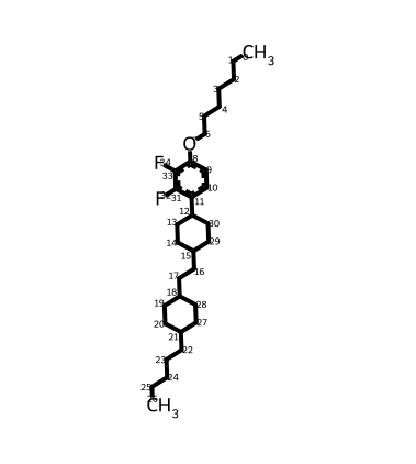 CCCCCCCOc1ccc(C2CCC(CCC3CCC(CCCCC)CC3)CC2)c(F)c1F